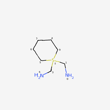 NCS1(CN)CCCCC1